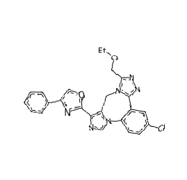 CCOCc1nnc2n1Cc1c(-c3nc(-c4ccccc4)co3)ncn1-c1ccc(Cl)cc1-2